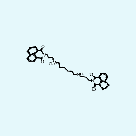 O=C1c2cccc3cccc(c23)C(=O)N1CCCNCCCCCCNCCCN1C(=O)c2cccc3cccc(c23)C1=O